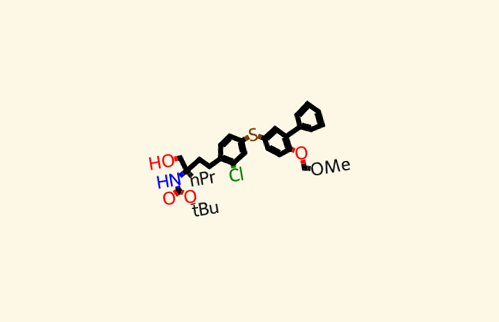 CCCC(CO)(CCc1ccc(Sc2ccc(OCOC)c(-c3ccccc3)c2)cc1Cl)NC(=O)OC(C)(C)C